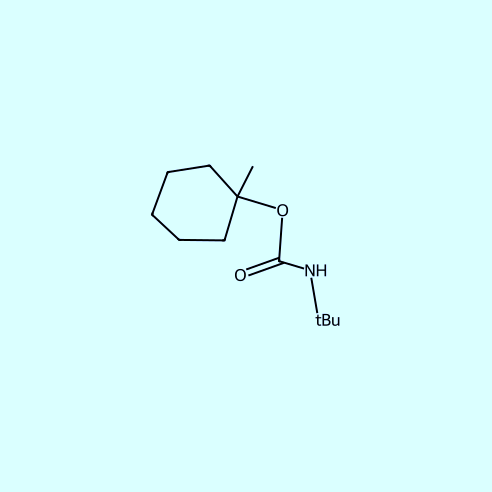 CC(C)(C)NC(=O)OC1(C)CCCCC1